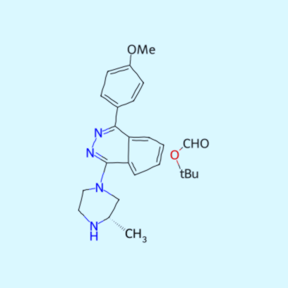 CC(C)(C)OC=O.COc1ccc(-c2nnc(N3CCN[C@@H](C)C3)c3ccccc23)cc1